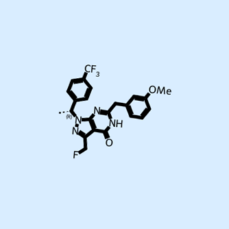 COc1cccc(Cc2nc3c(c(CF)nn3[C@H](C)c3ccc(C(F)(F)F)cc3)c(=O)[nH]2)c1